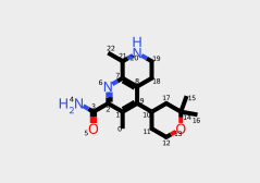 Cc1c(C(N)=O)nc2c(c1C1CCOC(C)(C)C1)CCNC2C